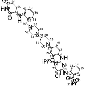 Cc1cc(Nc2ncc(Cl)c(Nc3ccccc3S(=O)(=O)C(C)C)n2)c(OC(C)C)cc1N1CCC(N2CCN(Cc3ccccc3NC3CCC(=O)NC3=O)CC2)CC1